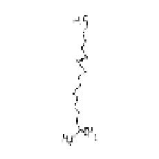 [CH2]CCCCCCCCCCCCCC[C](C)C